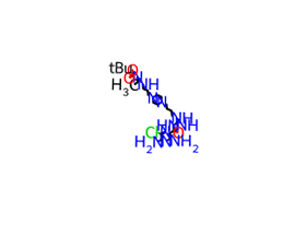 C/C(=N\C(=O)OC(C)(C)C)NCCCN1CCN(CCCCNC(=N)NC(=O)c2nc(Cl)c(N)nc2N)CC1